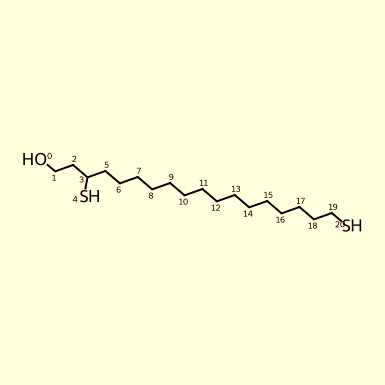 OCCC(S)CCCCCCCCCCCCCCCS